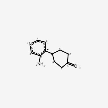 Nc1cnccc1C1CCC(=O)CC1